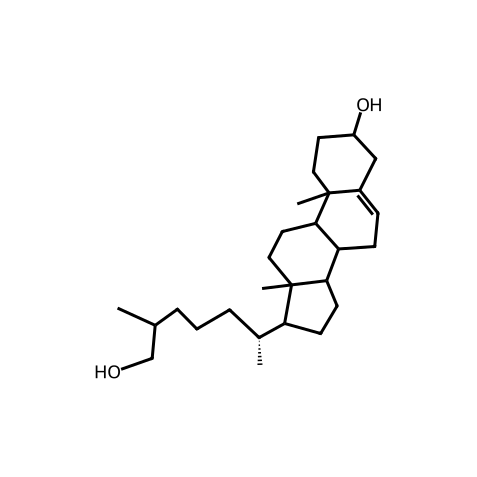 CC(CO)CCC[C@@H](C)C1CCC2C3CC=C4CC(O)CCC4(C)C3CCC21C